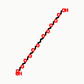 OCCOCCOCCOCCOCCOCCCCOCCOCCOCCOCCOCCOO